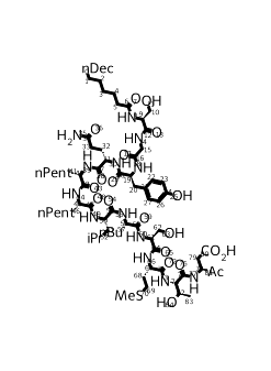 CCCCCCCCCCCCCCCC(=O)N[C@@H](CO)C(=O)NCC(=O)N[C@@H](Cc1ccc(O)cc1)C(=O)N[C@@H](CCC(N)=O)C(=O)N[C@@H](CCCCC)C(=O)N[C@@H](CCCCC)C(=O)N[C@@H](CC(C)C)C(=O)N[C@@H](CCCC)C(=O)N[C@@H](CO)C(=O)N[C@@H](CCSC)C(=O)N[C@H](C(=O)N[C@@H](CC(=O)O)C(C)=O)[C@@H](C)O